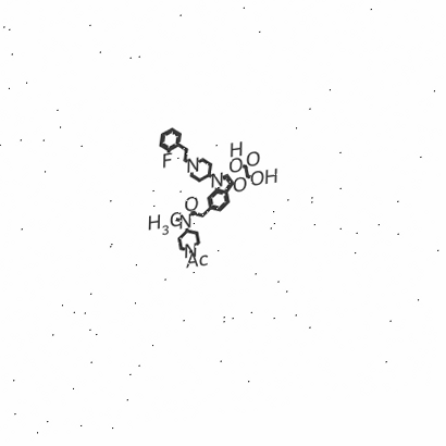 CC(=O)N1CCC(N(C)C(=O)Cc2ccc3ccn(C4CCN(CCc5ccccc5F)CC4)c3c2)CC1.O=C(O)C(=O)O